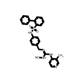 Cc1cnccc1N/C(=N/Cc1ccc(NS(=O)(=O)c2ccccc2-c2ccccc2)cc1)NC#N